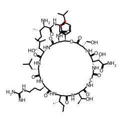 CC[C@H](C)C1NC(=O)[C@@H](CCCNC(=N)N)NC(=O)[C@H](CC(C)C)NC(=O)[C@H]([C@H](O)C(C)C)NC(=O)[C@@H](NC(=O)[C@H](CC(C)C)NC(=O)[C@H](N)[C@@H](C)CC)[C@@H](c2ccccc2)OC(=O)[C@H](CO)NC(=O)[C@H]([C@H](O)C(N)=O)NC(=O)CNC(=O)C([C@H](C)O)NC1=O